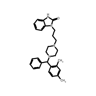 Cc1ccc(C(c2ccccc2)N2CCN(CCCn3c(=O)[nH]c4ccccc43)CC2)c(C)c1